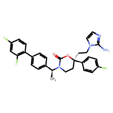 C[C@@H](c1ccc(-c2ccc(F)cc2F)cc1)N1CC[C@](CCn2ccnc2N)(c2ccc(F)cc2)OC1=O